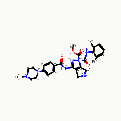 CCc1cccc(CC)c1NC(=O)[N+]1(C(=O)OC(C)C)N=C(NC(=O)c2ccc(N3CCN(C)CC3)cc2)C2=C1CNC2